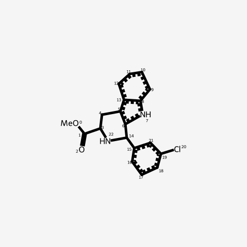 COC(=O)C1Cc2c([nH]c3ccccc23)C(c2cccc(Cl)c2)N1